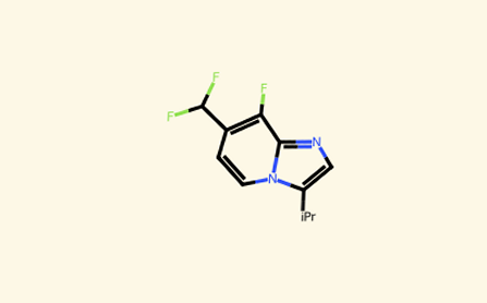 CC(C)c1cnc2c(F)c(C(F)F)ccn12